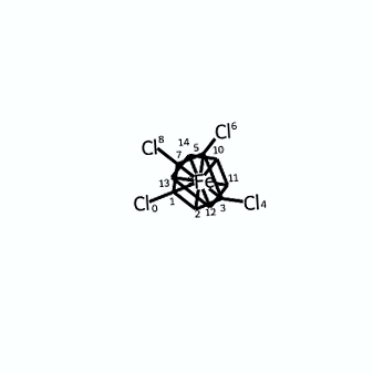 Cl[C]12[CH]3[C]4(Cl)[C]5(Cl)[C]1(Cl)[Fe]32451678[CH]2[CH]1[CH]6[CH]7[CH]28